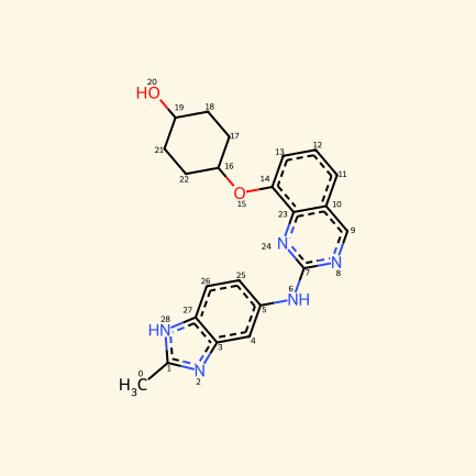 Cc1nc2cc(Nc3ncc4cccc(OC5CCC(O)CC5)c4n3)ccc2[nH]1